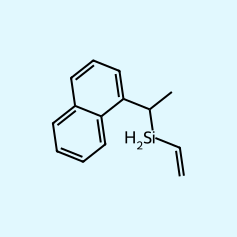 C=C[SiH2]C(C)c1cccc2ccccc12